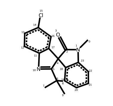 CN1C(=O)C2(C(C(C)(C)C)=Nc3ccc(Cl)cc32)c2ccccc21